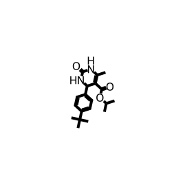 CC1=C(C(=O)OC(C)C)C(c2ccc(C(C)(C)C)cc2)NC(=O)N1